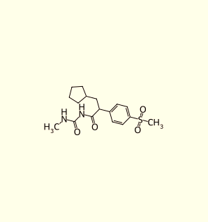 CNC(=O)NC(=O)C(CC1CCCC1)c1ccc(S(C)(=O)=O)cc1